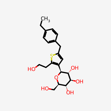 CCc1ccc(Cc2cc([C@@H]3O[C@H](CO)[C@@H](O)[C@H](O)[C@H]3O)c(CCO)s2)cc1